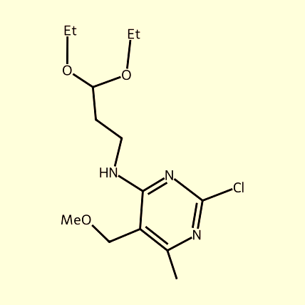 CCOC(CCNc1nc(Cl)nc(C)c1COC)OCC